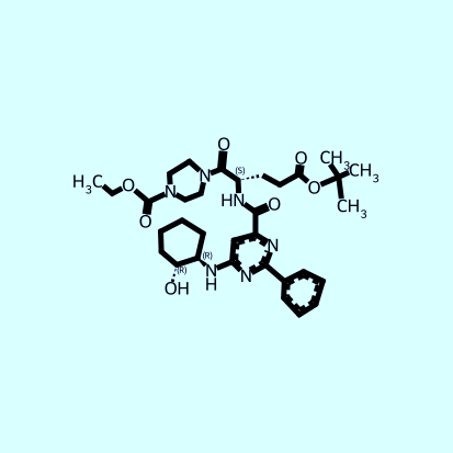 CCOC(=O)N1CCN(C(=O)[C@H](CCC(=O)OC(C)(C)C)NC(=O)c2cc(N[C@@H]3CCCC[C@H]3O)nc(-c3ccccc3)n2)CC1